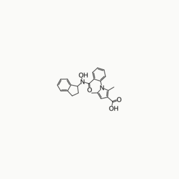 Cc1cc(C(=O)O)c(C)n1-c1ccccc1C(=O)N(O)C1CCc2ccccc21